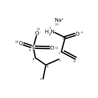 C=CC(N)=O.CC(C)CS(=O)(=O)[O-].[Na+]